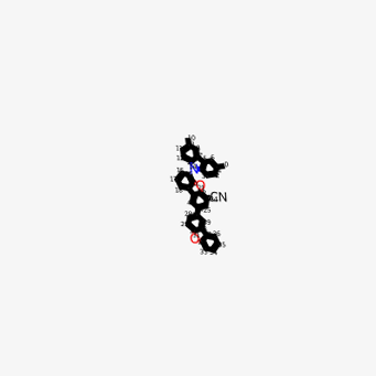 Cc1ccc2c(c1)c1cc(C)ccc1n2-c1cccc2c1oc1c(C#N)cc(-c3ccc4oc5ccccc5c4c3)cc12